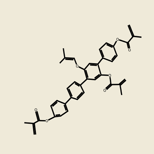 C=C(C)C(=O)Oc1ccc(-c2ccc(-c3cc(OC(=O)C(=C)C)c(-c4ccc(OC(=O)C(=C)C)cc4)cc3OC=C(C)C)cc2)cc1